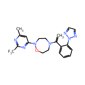 C=C(c1ccccc1-n1nccn1)N1CCON(c2cc(C)nc(C(F)(F)F)n2)CC1